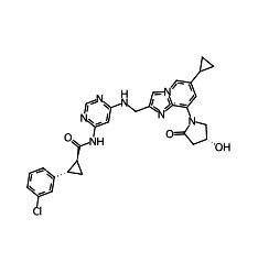 O=C(Nc1cc(NCc2cn3cc(C4CC4)cc(N4C[C@H](O)CC4=O)c3n2)ncn1)[C@H]1C[C@@H]1c1cccc(Cl)c1